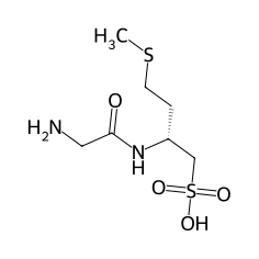 CSCC[C@H](CS(=O)(=O)O)NC(=O)CN